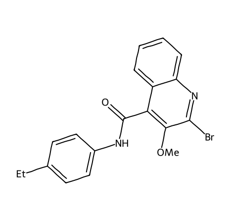 CCc1ccc(NC(=O)c2c(OC)c(Br)nc3ccccc23)cc1